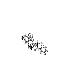 CC1c2ccccc2CCN1C(=O)Cc1c(Cl)cncc1C#N